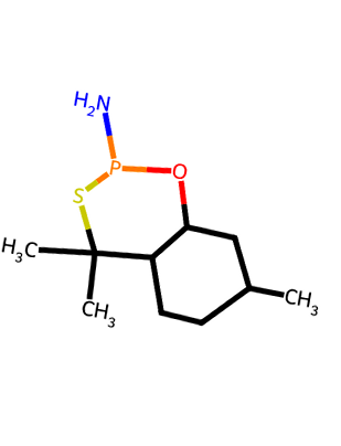 CC1CCC2C(C1)OP(N)SC2(C)C